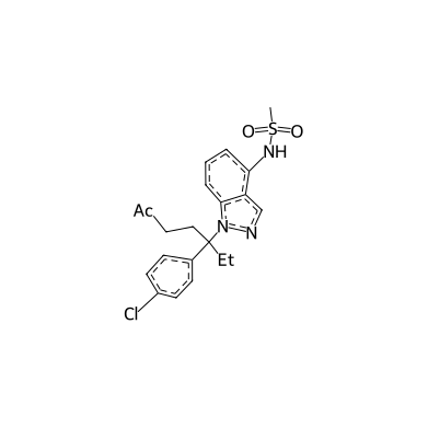 CCC(CCC(C)=O)(c1ccc(Cl)cc1)n1ncc2c(NS(C)(=O)=O)cccc21